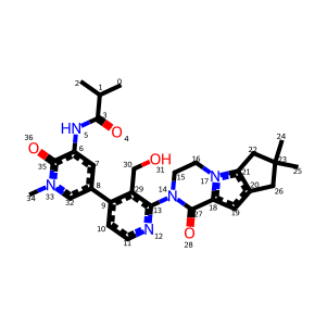 CC(C)C(=O)Nc1cc(-c2ccnc(N3CCn4c(cc5c4CC(C)(C)C5)C3=O)c2CO)cn(C)c1=O